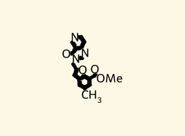 COC(=O)c1cc(C)cc2cc(Cn3cnc4ccncc4c3=O)oc12